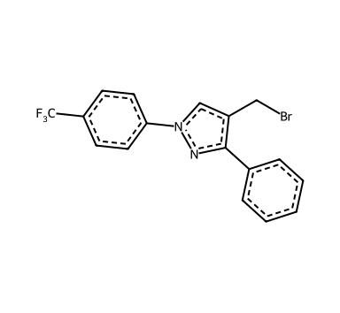 FC(F)(F)c1ccc(-n2cc(CBr)c(-c3ccccc3)n2)cc1